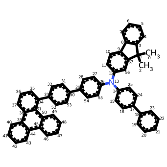 CC1(C)c2ccccc2-c2ccc(N(c3ccc(-c4ccccc4)cc3)c3ccc(-c4ccc(-c5cccc6c7ccccc7c7ccccc7c56)cc4)cc3)cc21